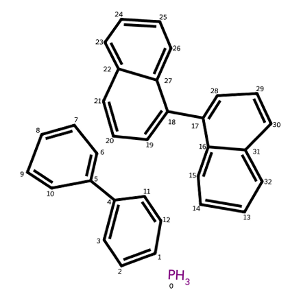 P.c1ccc(-c2ccccc2)cc1.c1ccc2c(-c3cccc4ccccc34)cccc2c1